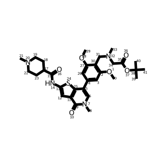 COc1cc(-c2cn(C)c(=O)c3cc(NC(=O)C4CCN(C)CC4)sc23)cc(OC)c1CN(C)CC(=O)OC(C)(C)C